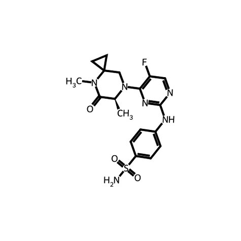 C[C@H]1C(=O)N(C)C2(CC2)CN1c1nc(Nc2ccc(S(N)(=O)=O)cc2)ncc1F